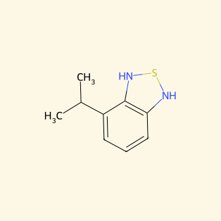 CC(C)c1cccc2c1NSN2